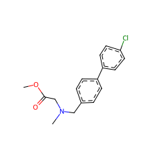 COC(=O)CN(C)Cc1ccc(-c2ccc(Cl)cc2)cc1